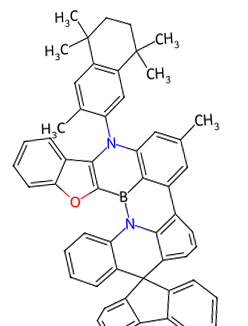 Cc1cc2c3c(c1)N(c1cc4c(cc1C)C(C)(C)CCC4(C)C)c1c(oc4ccccc14)B3N1c3ccccc3C3(c4ccccc4-c4ccccc43)c3cccc-2c31